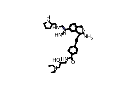 CCN(CC)CC(O)CNC(=O)c1ccc(C#Cc2c(N)ncc3ccc(/C(=C/NCC4CCCN4)N=N)cc23)cc1